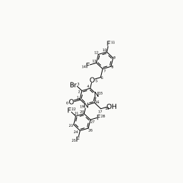 O=c1c(Br)c(OCc2ccc(F)cc2F)nc(CO)n1-c1c(F)cc(F)cc1F